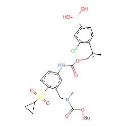 C[C@@H](COC(=O)Nc1ccc(S(=O)(=O)C2CC2)c(CN(C)C(=O)OC(C)(C)C)c1)c1ccc(B(O)O)cc1Cl